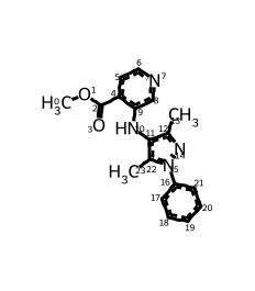 COC(=O)c1ccncc1Nc1c(C)nn(-c2ccccc2)c1C